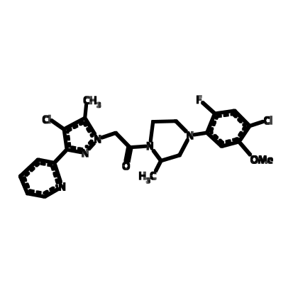 COc1cc(N2CCN(C(=O)Cn3nc(-c4ccccn4)c(Cl)c3C)C(C)C2)c(F)cc1Cl